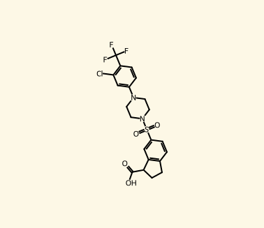 O=C(O)C1CCc2ccc(S(=O)(=O)N3CCN(c4ccc(C(F)(F)F)c(Cl)c4)CC3)cc21